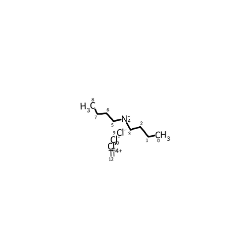 CCCC[N-]CCCC.[Cl-].[Cl-].[Cl-].[Ti+4]